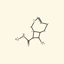 CNC(=O)C1C(C)C2CC/C=C/CCC21